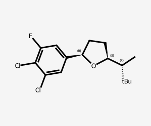 C[C@@H]([C@@H]1CC[C@H](c2cc(F)c(Cl)c(Cl)c2)O1)C(C)(C)C